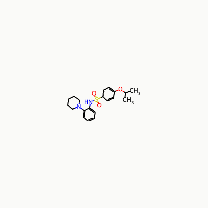 CC(C)Oc1ccc(S(=O)(=O)Nc2ccccc2N2CCCCC2)cc1